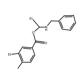 CCc1cc(C(=O)OC(CC)NCc2ccccc2)ccc1C